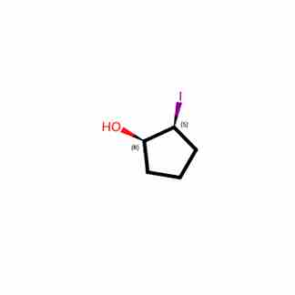 O[C@@H]1CCC[C@@H]1I